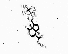 COC(=O)C1=COC(=O)[C@@H]2C(CO[Si](C)(C)C(C)(C)C)=CC[C@H]12